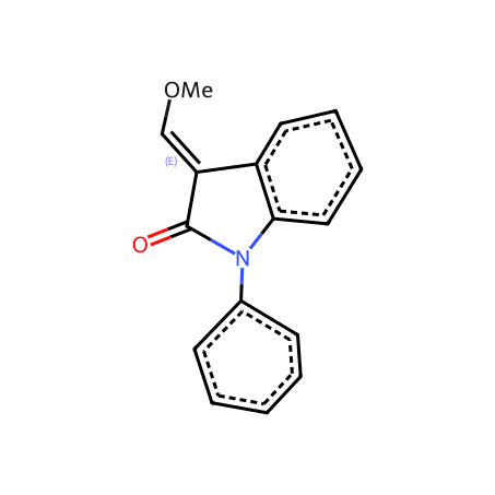 CO/C=C1/C(=O)N(c2ccccc2)c2ccccc21